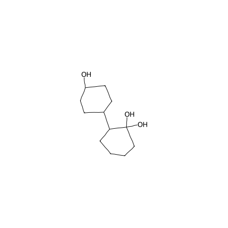 OC1CCC(C2CCCCC2(O)O)CC1